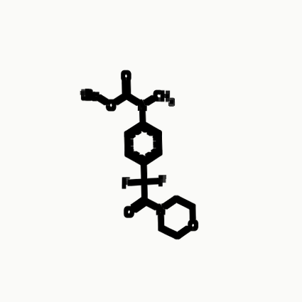 CN(C(=O)OC(C)(C)C)c1ccc(C(F)(F)C(=O)N2CCOCC2)cc1